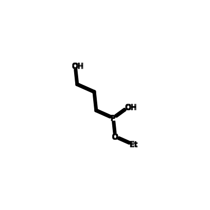 CCOP(O)CCCO